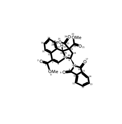 COC(=O)C1=CN2[C@H](N3C(=O)c4ccccc4C3=O)CC(C(=O)OC)(C(=O)OC)[C@H]2c2ccccc21